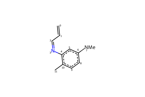 C=C/C=N\c1cc(NC)ccc1C